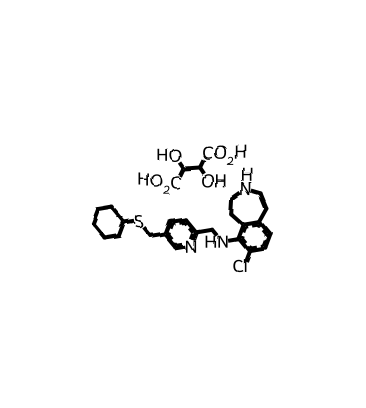 Clc1ccc2c(c1NCc1ccc(CSC3CCCCC3)cn1)CCNCC2.O=C(O)C(O)C(O)C(=O)O